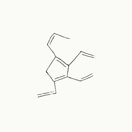 C=CC1=C(C=C)C(C=C)=C(/C=C\C)C1